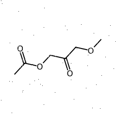 COCC(=O)COC(C)=O